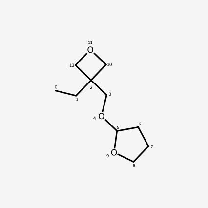 CCC1(COC2CCCO2)COC1